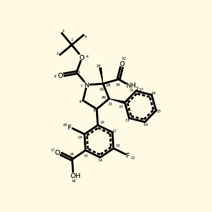 CC(C)(C)OC(=O)N1CC(c2cc(F)cc(C(=O)O)c2F)[C@H](c2ccccc2)[C@@]1(C)C(N)=O